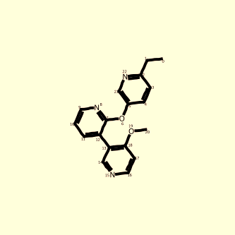 CCc1ccc(Oc2ncccc2-c2cnccc2OC)cn1